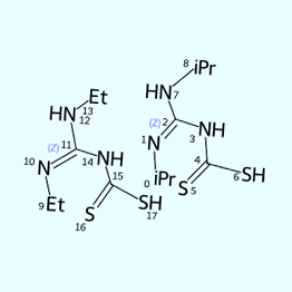 CC(C)/N=C(\NC(=S)S)NC(C)C.CC/N=C(/NCC)NC(=S)S